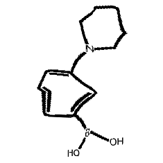 OB(O)c1cccc(N2CCCCC2)c1